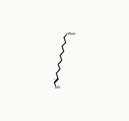 [CH2]CC/C=C/CCCCCCCCCCCCCCCCCC